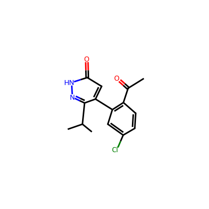 CC(=O)c1ccc(Cl)cc1-c1cc(=O)[nH]nc1C(C)C